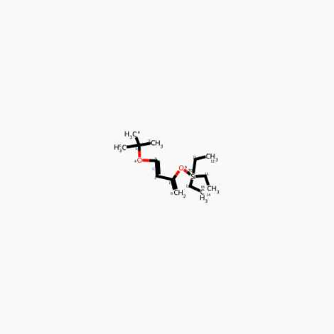 C=C(/C=C/OC(C)(C)C)O[Si](CC)(CC)CC